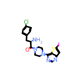 N[C@H](Cc1ccc(Cl)cc1)C(=O)N1CCN(c2ncnc3cc(I)sc23)CC1